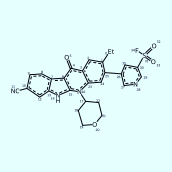 CCc1cc2c(=O)c3c4ccc(C#N)cc4[nH]c3n(C3CCOCC3)c2cc1-c1cncc(S(=O)(=O)F)c1